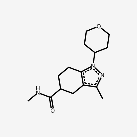 CNC(=O)C1CCc2c(c(C)nn2C2CCOCC2)C1